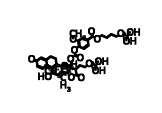 COc1cc(C(=O)OCCCCON(O)O)ccc1OC(=O)OCC(=O)[C@@]12OC(=O)C(CCON(O)O)[C@@H]1CC1C3CCC4=CC(=O)C=C[C@]4(C)[C@@]3(F)[C@@H](O)C[C@@]12C